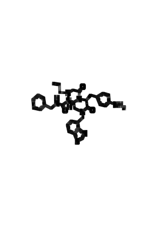 C=CCN1CC(=O)N2[C@@H](Cc3ccc(N)cc3)C(=O)N(Cc3cccc4scnc34)C[C@@H]2N1C(=O)NCc1ccccc1